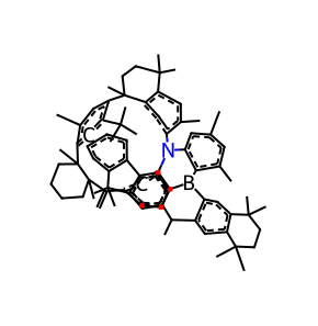 C=C1c2ccc3c(c2)N(c2cc4c(cc2C)C(C)(C)CCC4(C)c2cc(C)c(cc2C(C)(C)C)C2(C)CCCCC12C)c1cc(C)cc(C)c1B3c1cc2c(cc1C(C)c1ccc3c(c1)C(C)(C)c1ccccc1-3)C(C)(C)CCC2(C)C